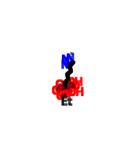 CCC(=O)OC(CCCCc1cn(C)nn1)(P(=O)(O)O)P(=O)(O)O